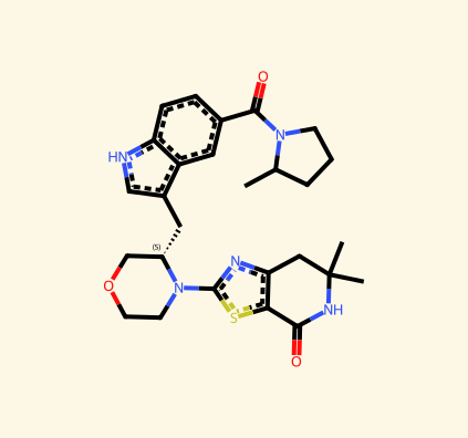 CC1CCCN1C(=O)c1ccc2[nH]cc(C[C@H]3COCCN3c3nc4c(s3)C(=O)NC(C)(C)C4)c2c1